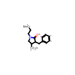 COCCN1CC(C(=O)O)C(Cc2ccccc2)C1=O